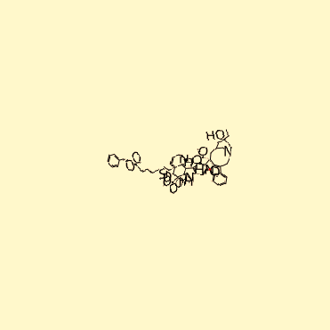 CC[C@]1(O)CC2CN(CCc3c([nH]c4ccccc34)[C@@](C(=O)OC)(c3cc4c(cc3OC)N(C)[C@H]3[C@@](O)(C(=O)OC)[C@H](O[Si](C)(C)CCCCC(=O)OCc5ccccc5)[C@]5(CC)C=CCN6CC[C@]43[C@@H]65)C2)C1